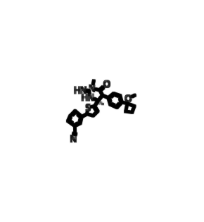 COC1(c2ccc(C3C(=O)N(C)C(=N)N[C@]3(C)C3=CCC(c4cccc(C#N)c4)S3)cc2)CCC1